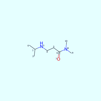 CC(C)NCCC(=O)N(C)C